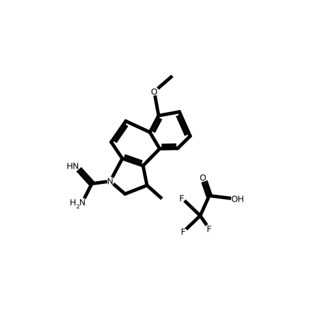 COc1cccc2c3c(ccc12)N(C(=N)N)CC3C.O=C(O)C(F)(F)F